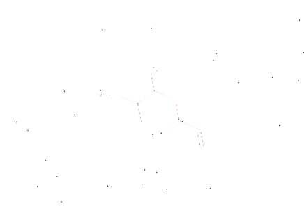 C=CC(=O)OC(CCCCCCCCC)C(CC)CCCCC